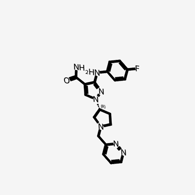 NC(=O)c1cn([C@@H]2CCN(Cc3cccnn3)C2)nc1Nc1ccc(F)cc1